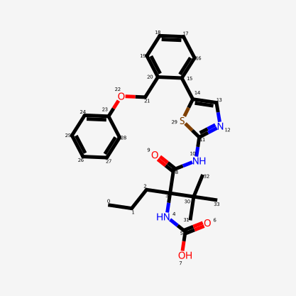 CCCC(NC(=O)O)(C(=O)Nc1ncc(-c2ccccc2COc2ccccc2)s1)C(C)(C)C